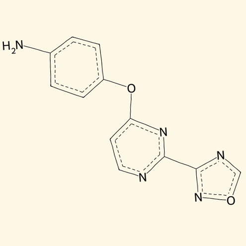 Nc1ccc(Oc2ccnc(-c3ncon3)n2)cc1